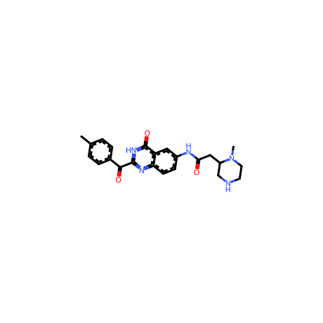 Cc1ccc(C(=O)c2nc3ccc(NC(=O)CC4CNCCN4C)cc3c(=O)[nH]2)cc1